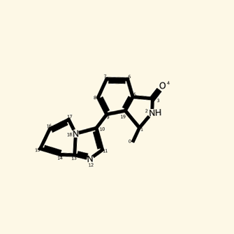 CC1NC(=O)c2cccc(-c3cnc4ccccn34)c21